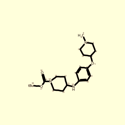 CN1CCC(Oc2ccc(NC3CCN(C(=O)OC(C)(C)C)CC3)cc2)CC1